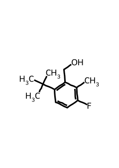 Cc1c(F)ccc(C(C)(C)C)c1CO